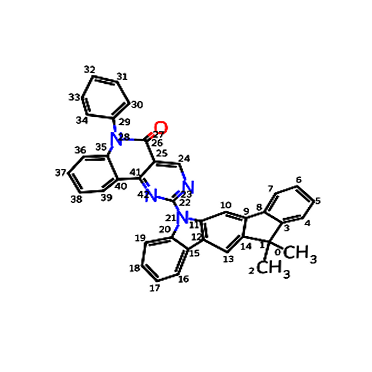 CC1(C)c2ccccc2-c2cc3c(cc21)c1ccccc1n3-c1ncc2c(=O)n(-c3ccccc3)c3ccccc3c2n1